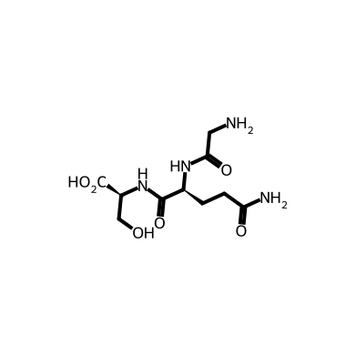 NCC(=O)N[C@@H](CCC(N)=O)C(=O)N[C@@H](CO)C(=O)O